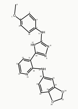 COc1ccc(Nc2nnc(-c3cccnc3Nc3ccc4c(c3)OCO4)[nH]2)cc1